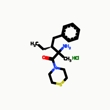 CC[C@H](Cc1ccccc1)C(C)(N)C(=O)N1CCSCC1.Cl